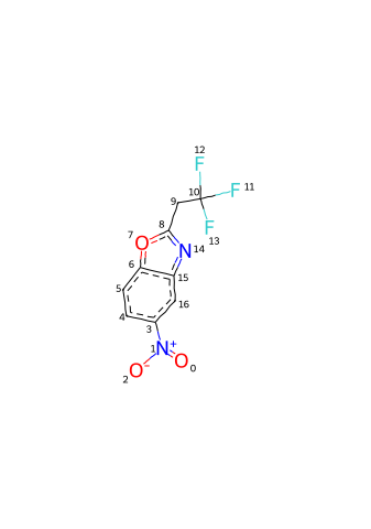 O=[N+]([O-])c1ccc2oc(CC(F)(F)F)nc2c1